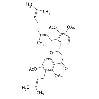 CC(=O)Oc1cc2c(c(OC(C)=O)c1CC=C(C)C)C(=O)C[C@@H](c1ccc(OC(C)=O)c(OC(C)=O)c1C/C=C(\C)CCC=C(C)C)O2